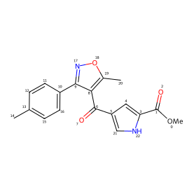 COC(=O)c1cc(C(=O)c2c(-c3ccc(C)cc3)noc2C)c[nH]1